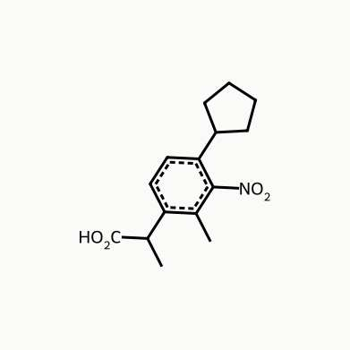 Cc1c(C(C)C(=O)O)ccc(C2CCCC2)c1[N+](=O)[O-]